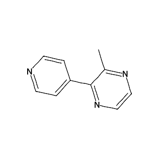 Cc1nccnc1-c1ccncc1